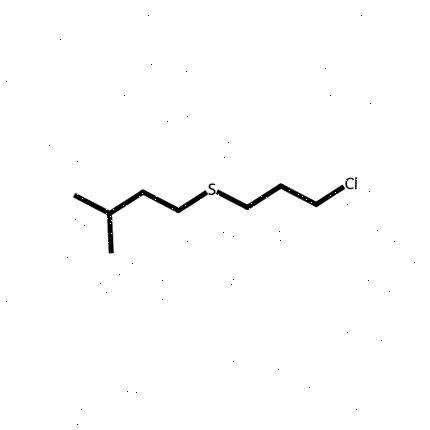 CC(C)CCSCCCCl